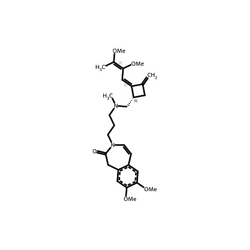 C=C1C[C@H](CN(C)CCCN2C=Cc3cc(OC)c(OC)cc3CC2=O)/C1=C/C(OC)=C(\C)OC